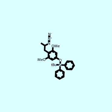 COc1cc(O[Si](c2ccccc2)(c2ccccc2)C(C)(C)C)cc(OC)c1CC(C)N=[N+]=[N-]